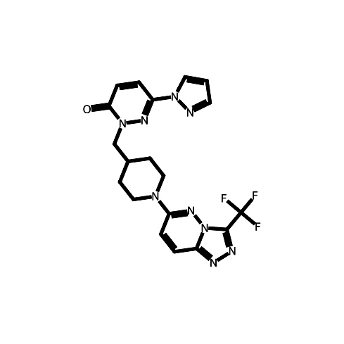 O=c1ccc(-n2cccn2)nn1CC1CCN(c2ccc3nnc(C(F)(F)F)n3n2)CC1